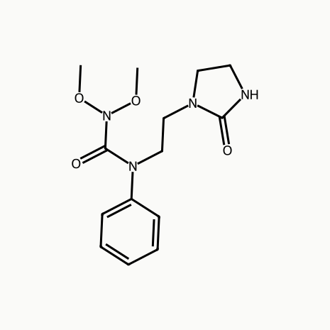 CON(OC)C(=O)N(CCN1CCNC1=O)c1ccccc1